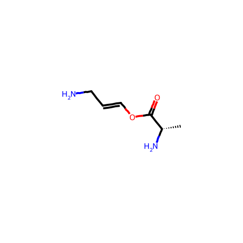 C[C@H](N)C(=O)OC=CCN